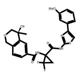 COc1cccc(-c2csc(NC(=O)C3(NC(=O)c4ccc5c(c4)[C@](C)(C#N)COC5)CC3(F)F)n2)c1